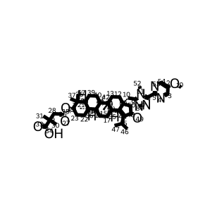 COc1cnc(-c2nnc(C[C@@]34CC[C@]5(C)[C@H](CC[C@@H]6[C@@]7(C)CC[C@H](OC(=O)CC(C)(C)C(=O)O)C(C)(C)[C@@H]7CC[C@]65C)C3=C(C(C)C)C(=O)C4)n2C)nc1